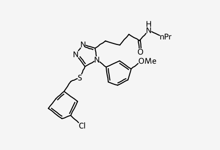 CCCNC(=O)CCCc1nnc(SCc2cccc(Cl)c2)n1-c1cccc(OC)c1